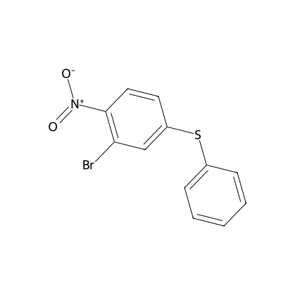 O=[N+]([O-])c1ccc(Sc2ccccc2)cc1Br